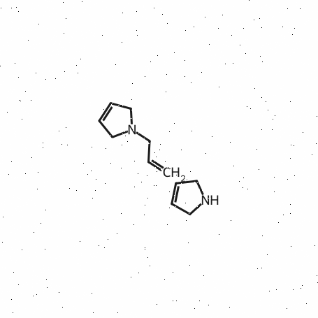 C1=CCNC1.C=CCN1CC=CC1